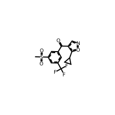 CS(=O)(=O)c1cc(C(=O)c2cnoc2C2CC2)cc(C(F)(F)F)c1